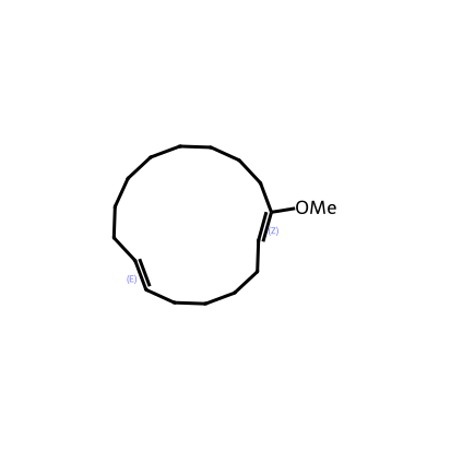 CO/C1=C\CCCC/C=C/CCCCCCCC1